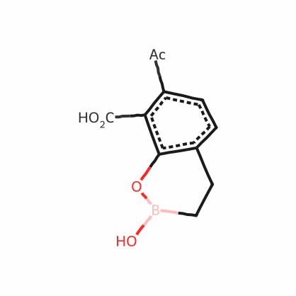 CC(=O)c1ccc2c(c1C(=O)O)OB(O)CC2